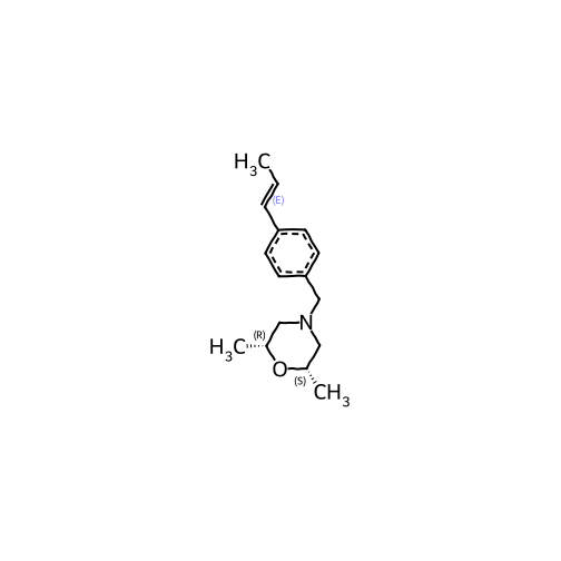 C/C=C/c1ccc(CN2C[C@@H](C)O[C@@H](C)C2)cc1